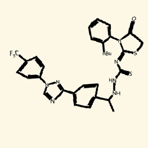 CCCCc1ccccc1N1C(=O)CS/C1=N\C(=S)NNC(C)c1ccc(-c2ncn(-c3ccc(C(F)(F)F)cc3)n2)cc1